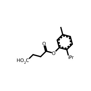 Cc1ccc(C(C)C)c(OC(=O)CCC(=O)O)c1